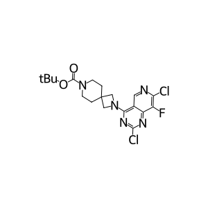 CC(C)(C)OC(=O)N1CCC2(CC1)CN(c1nc(Cl)nc3c(F)c(Cl)ncc13)C2